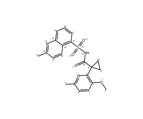 COc1ccc(C)nc1C1(C(=O)NS(=O)(=O)c2cccc3nc(C)ccc23)CC1